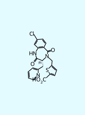 O=C(O)c1ccc(CN2C(=O)c3ccc(Cl)cc3NC(=O)[C@H]2Cc2ccccn2)s1